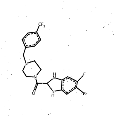 O=C(C1Nc2cc(F)c(Br)cc2N1)N1CCN(Cc2ccc(C(F)(F)F)cc2)CC1